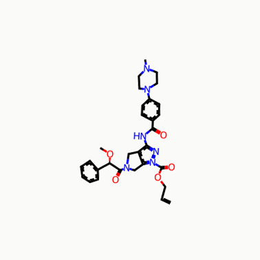 C=CCOC(=O)n1nc(NC(=O)c2ccc(N3CCN(C)CC3)cc2)c2c1CN(C(=O)[C@H](OC)c1ccccc1)C2